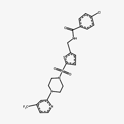 O=C(NCc1ccc(S(=O)(=O)N2CCN(c3cc(C(F)(F)F)ccn3)CC2)s1)c1ccc(Cl)cc1